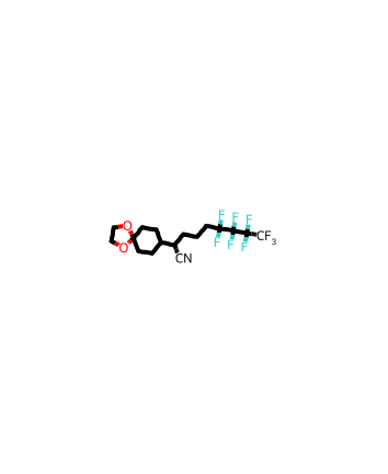 N#CC(CCCC(F)(F)C(F)(F)C(F)(F)C(F)(F)F)C1CCC2(CC1)OCCO2